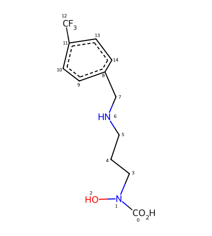 O=C(O)N(O)CCCNCc1ccc(C(F)(F)F)cc1